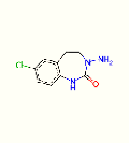 NN1CCc2cc(Cl)ccc2NC1=O